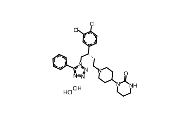 Cl.Cl.O=C1NCCCN1C1CCN(CC[C@H](Cn2nnnc2-c2ccccc2)c2ccc(Cl)c(Cl)c2)CC1